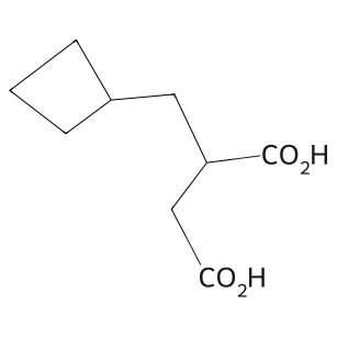 O=C(O)CC(CC1CCC1)C(=O)O